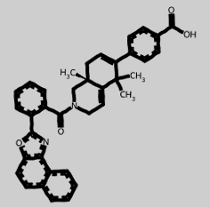 CC1(C)C(c2ccc(C(=O)O)cc2)=CC[C@@]2(C)CN(C(=O)c3ccccc3-c3nc4c(ccc5ccccc54)o3)CC=C12